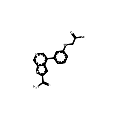 NC(=O)CNc1cccc(-c2cncc3sc(C(N)=O)cc23)c1